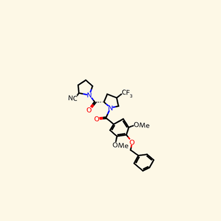 COc1cc(C(=O)N2CC(C(F)(F)F)C[C@H]2C(=O)N2CCCC2C#N)cc(OC)c1OCc1ccccc1